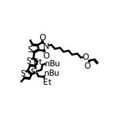 C=CC(=O)OCCCCCCCCN1C(=O)c2c(C)sc(-c3cc4c(s3)-c3sc(C)cc3[Si]4(CC(CC)CCCC)CC(CC)CCCC)c2C1=O